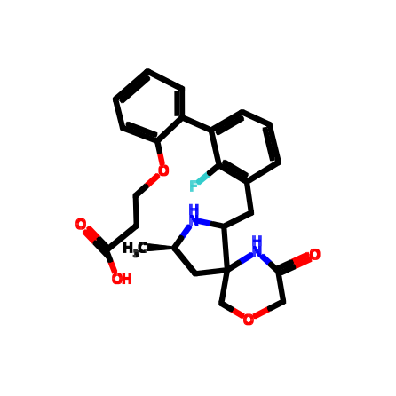 C[C@@H]1CC2(COCC(=O)N2)C(Cc2cccc(-c3ccccc3OCCC(=O)O)c2F)N1